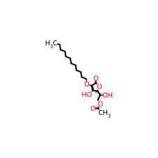 CCCCCCCCCCCCOC1=C(O)[C@@H]([C@@H](O)COC(C)=O)OC1=O